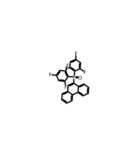 O=P(c1c(F)cc(F)cc1F)(c1c(F)cc(F)cc1F)c1cc2ccccc2c2ccccc12